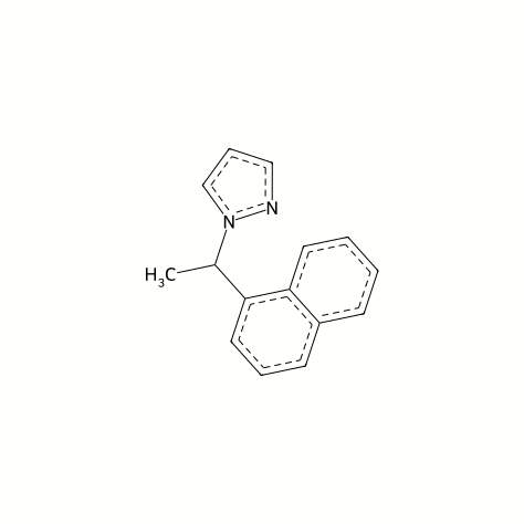 CC(c1cccc2ccccc12)n1cccn1